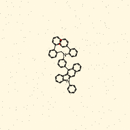 c1ccc(-c2ccccc2CN(c2cccc(-c3c4ccccc4cc4c3c3ccccc3n4-c3ccccc3)c2)c2ccccc2-c2ccccc2)cc1